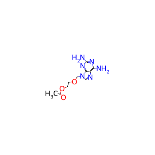 CC(=O)OCCOCn1cnc2c(N)nc(N)nc21